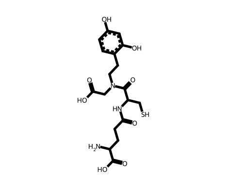 NC(CCC(=O)NC(CS)C(=O)N(CCc1ccc(O)cc1O)CC(=O)O)C(=O)O